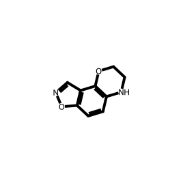 c1cc2oncc2c2c1NCCO2